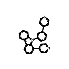 c1cc(-c2ccncc2)cc(-n2c3ccccc3c3cccc(-c4ccncc4)c32)c1